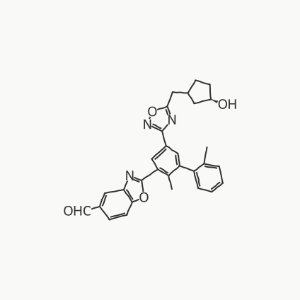 Cc1ccccc1-c1cc(-c2noc(CC3CC[C@@H](O)C3)n2)cc(-c2nc3cc(C=O)ccc3o2)c1C